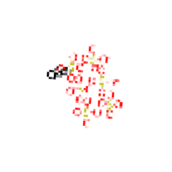 O=S(=O)([O-])OOS(=O)(=O)[O-].O=S(=O)([O-])OOS(=O)(=O)[O-].O=S(=O)([O-])OOS(=O)(=O)[O-].[Cr+3].[Cr+3]